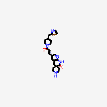 O=C(/C=C/c1cnc2c(c1)CC1(CCNCC1)C(=O)N2)N1CC=C(Cc2nccs2)CC1